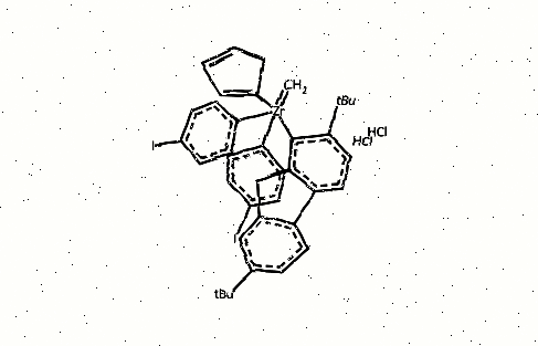 Cl.Cl.[CH2]=[Zr]([C]1=CC=CC1)([c]1ccc(I)cc1)([c]1ccc(I)cc1)[c]1c(C(C)(C)C)ccc2c1Cc1cc(C(C)(C)C)ccc1-2